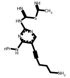 CCCNc1nc(NC(=N)SC(C)=N)ncc1C#CCCCN